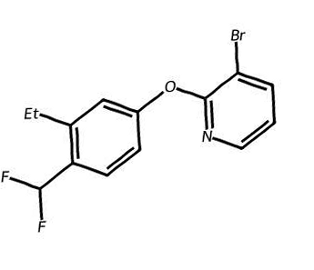 CCc1cc(Oc2ncccc2Br)ccc1C(F)F